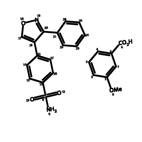 COc1cccc(C(=O)O)c1.NS(=O)(=O)c1ccc(-c2conc2-c2ccccc2)cc1